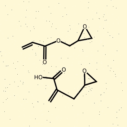 C=C(CC1CO1)C(=O)O.C=CC(=O)OCC1CO1